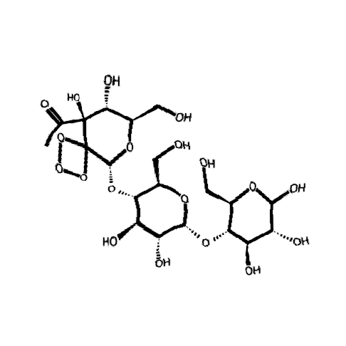 CC(=O)[C@]1(O)[C@H](O)[C@@H](CO)O[C@H](O[C@H]2[C@H](O)[C@@H](O)[C@@H](O[C@H]3[C@H](O)[C@@H](O)C(O)O[C@@H]3CO)O[C@@H]2CO)C12OOO2